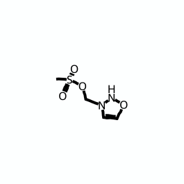 CS(=O)(=O)OCN1C=CON1